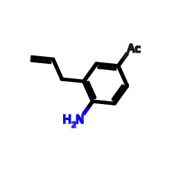 C=CCc1cc(C(C)=O)ccc1N